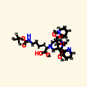 COC(=O)C12CN([C@@H](CCCCNC(=O)OC(C)(C)C)C(=O)O)CC(C(=O)OC)(C1=O)[C@@H](c1ccccn1)N(C)[C@H]2c1ccccn1